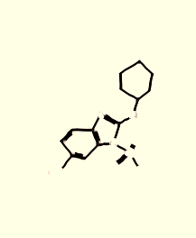 CC(C)S(=O)(=O)n1c(NC2CCCCC2)nc2ccc(C=O)cc21